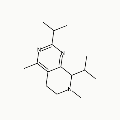 Cc1nc(C(C)C)nc2c1CCN(C)C2C(C)C